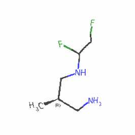 C[C@H](CN)CNC(F)CF